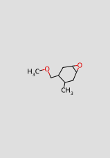 COCC1CC2OC2CC1C